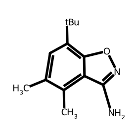 Cc1cc(C(C)(C)C)c2onc(N)c2c1C